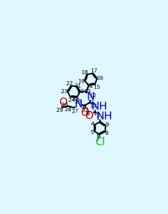 O=C(Nc1ccc(Cl)cc1)NC1N=C(c2ccccc2)c2ccccc2N(CC2CO2)C1=O